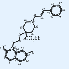 CCOC(=O)C1(CCCn2c(=O)ccc3ccc(C)cc32)CCN(C/C=C/c2ccccc2)CC1